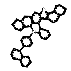 c1ccc(N(c2ccc(-c3cccc4ccccc34)cc2)c2cccc3ccccc23)c(-c2cccc3oc4c5ccccc5ccc4c23)c1